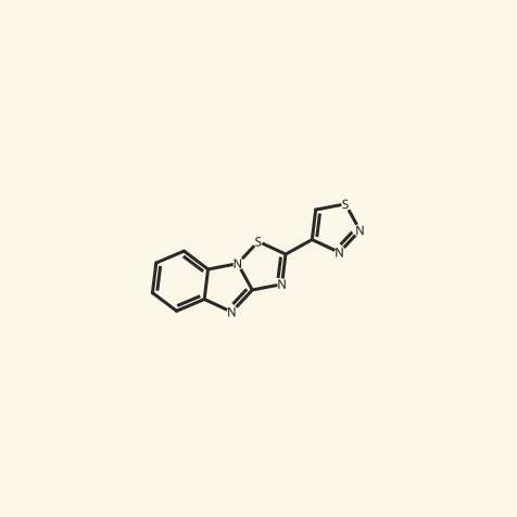 c1ccc2c(c1)nc1nc(-c3csnn3)sn12